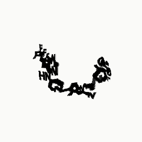 Cc1c(CN2CCC(Nc3ncnc4sc(CC(F)(F)F)cc34)CC2)ccc2c1cc(C#N)n2C[C@H](C)N1C[C@@H](C)C(S(C)(=O)=O)[C@H](C)C1